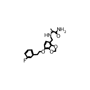 C[C@H](NCc1ccc(OCCc2cccc(F)c2)c2c1OCO2)C(N)=O